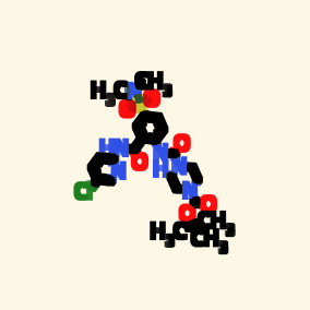 CN(C)S(=O)(=O)c1ccc(NC(=O)N2CCN(C(=O)OC(C)(C)C)CC2)c(C(=O)Nc2ccc(Cl)cn2)c1